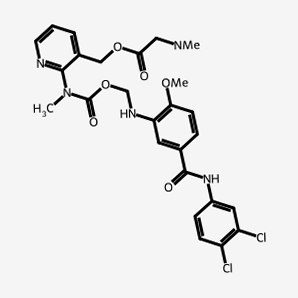 CNCC(=O)OCc1cccnc1N(C)C(=O)OCNc1cc(C(=O)Nc2ccc(Cl)c(Cl)c2)ccc1OC